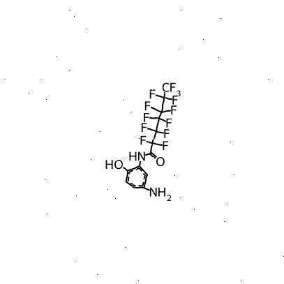 Nc1ccc(O)c(NC(=O)C(F)(F)C(F)(F)C(F)(F)C(F)(F)C(F)(F)C(F)(F)F)c1